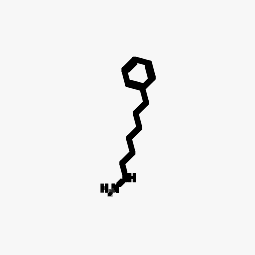 NBCCCCCCc1ccccc1